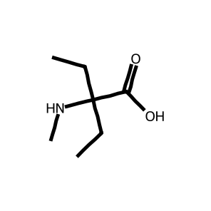 CCC(CC)(NC)C(=O)O